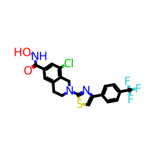 O=C(NO)c1cc(Cl)c2c(c1)CCN(c1nc(-c3ccc(C(F)(F)F)cc3)cs1)C2